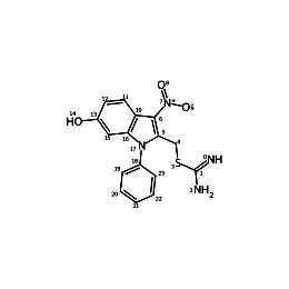 N=C(N)SCc1c([N+](=O)[O-])c2ccc(O)cc2n1-c1ccccc1